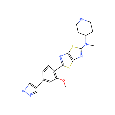 COc1cc(-c2cn[nH]c2)ccc1-c1nc2sc(N(C)C3CCNCC3)nc2s1